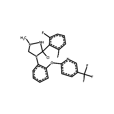 CN1CN(c2ccccc2Oc2ccc(C(F)(F)F)cn2)C(Cl)(c2c(F)cccc2F)N1